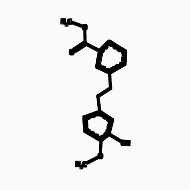 COC(=O)c1cccc(CCc2ccc(OC)c(O)c2)c1